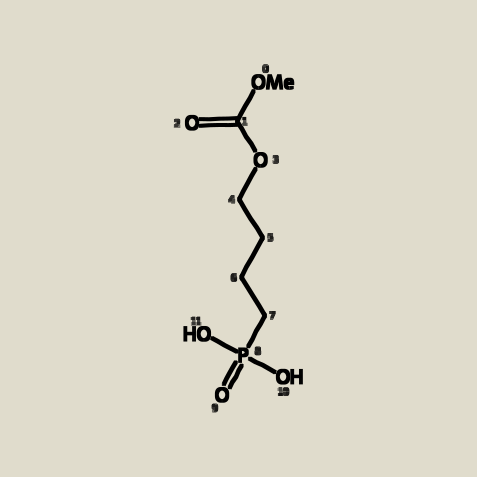 COC(=O)OCCCCP(=O)(O)O